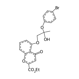 CCOC(=O)c1cc(=O)c2c(OCC(C)(O)Oc3ccc(Br)cc3)cccc2o1